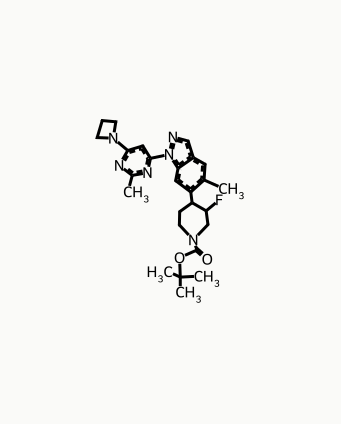 Cc1nc(N2CCC2)cc(-n2ncc3cc(C)c(C4CCN(C(=O)OC(C)(C)C)CC4F)cc32)n1